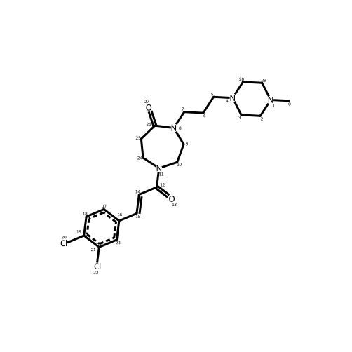 CN1CCN(CCCN2CCN(C(=O)/C=C/c3ccc(Cl)c(Cl)c3)CCC2=O)CC1